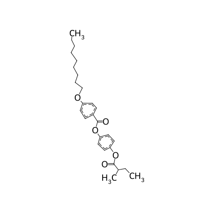 CCCCCCCCCOc1ccc(C(=O)Oc2ccc(OC(=O)C(C)CC)cc2)cc1